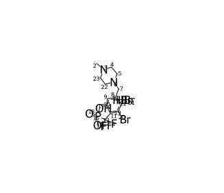 Br.Br.CN1CCN(Cc2ccc(C(F)(F)P(=O)(O)O)c(Br)c2)CC1